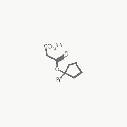 CC(C)C1(OC(=O)CC(=O)O)CCCC1